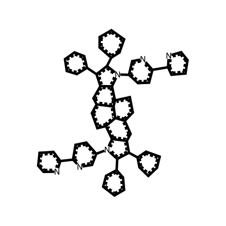 c1ccc(-c2c(-c3ccccc3)n(-c3ccc(-c4ccccn4)nc3)c3c2cc2ccc4c5c(ccc3c25)cc2c(-c3ccccc3)c(-c3ccccc3)n(-c3ccc(-c5ccccn5)nc3)c24)cc1